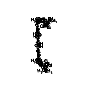 CN(C)C1Cc2c(Cl)cc(Cl)cc2[C@@H]1Oc1ccc(S(=O)(=O)N(C)CCOCCOCCNC(=O)NCCCCNC(=O)NCCOCCOCCN(C)S(=O)(=O)c2ccc(O[C@H]3c4cc(Cl)cc(Cl)c4C[C@@H]3N(C)C)cc2)cc1